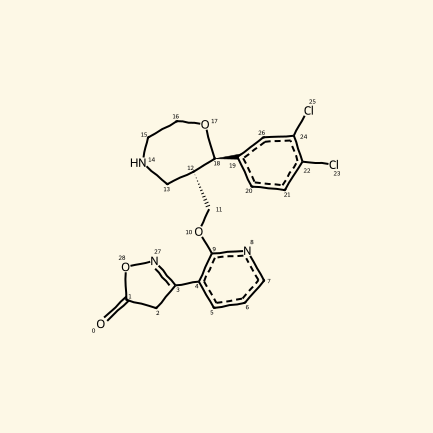 O=C1CC(c2cccnc2OC[C@@H]2CNCCO[C@H]2c2ccc(Cl)c(Cl)c2)=NO1